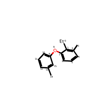 CCc1c(C)cccc1Oc1cccc(C)c1